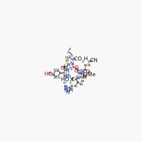 C/C=C/C1=C(C(=O)O)N2C(=O)[C@@H](NC(=O)[C@H](N)c3ccc(O)cc3)[C@H]2SC1.CO[C@@]1(NC(=O)CSCC#N)C(=O)N2C(C(=O)O)=C(CSc3nnnn3C)CS[C@@H]21